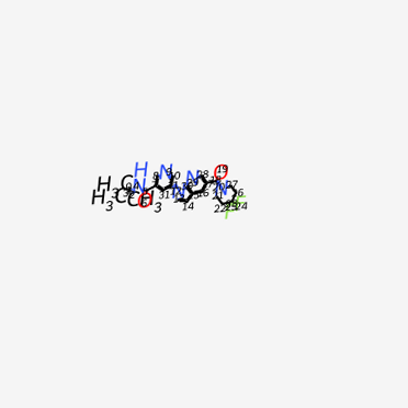 CC(C)(C)NC(=O)c1cncc(-n2ccc3cc(C(=O)N4CCC(F)(F)CC4)cnc32)c1